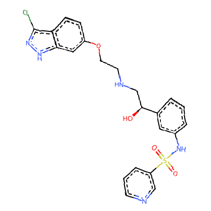 O=S(=O)(Nc1cccc([C@@H](O)CNCCOc2ccc3c(Cl)n[nH]c3c2)c1)c1cccnc1